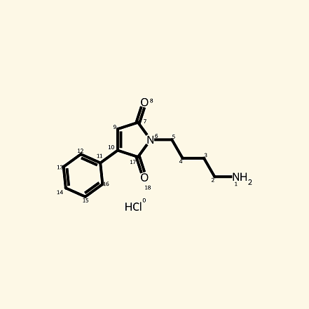 Cl.NCCCCN1C(=O)C=C(c2ccccc2)C1=O